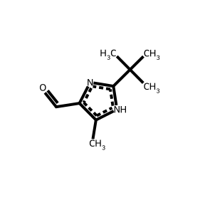 Cc1[nH]c(C(C)(C)C)nc1C=O